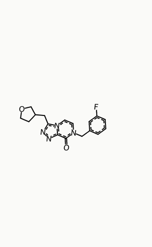 O=c1c2nnc(CC3CCOC3)n2ccn1Cc1cccc(F)c1